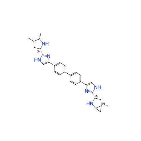 CC1C[C@@H](c2nc(-c3ccc(-c4ccc(-c5c[nH]c([C@@H]6C[C@@]7(C)CC7N6)n5)cc4)cc3)c[nH]2)NC1C